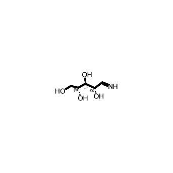 N=C[C@H](O)[C@H](O)[C@H](O)CO